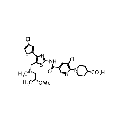 CO[C@@H](C)CN(C)Cc1sc(NC(=O)c2cnc(N3CCC(C(=O)O)CC3)c(Cl)c2)nc1-c1cc(Cl)cs1